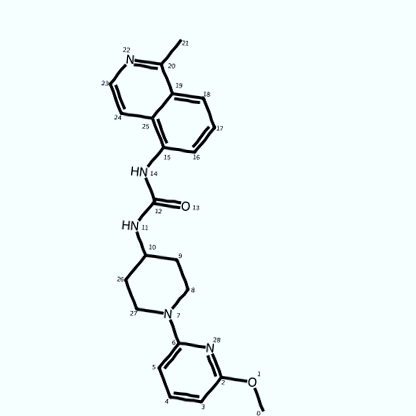 COc1cccc(N2CCC(NC(=O)Nc3cccc4c(C)nccc34)CC2)n1